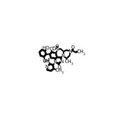 C=CC(=O)N1CC(C)N2c3nc(=O)n(-c4c(C)ccnc4C(C)C)c4c(F)c(-c5c(O)cccc5O)c(Cl)c(c34)S(=O)(=O)CC2C1